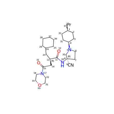 CC(C)[C@H]1CC[C@@H](N2CC[C@@](C#N)(NC(=O)[C@@H](CC(=O)N3CCOCC3)CC3CCCCC3)C2)CC1